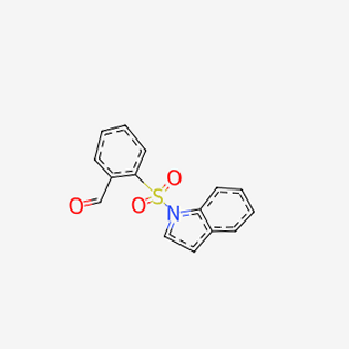 O=Cc1ccccc1S(=O)(=O)n1ccc2ccccc21